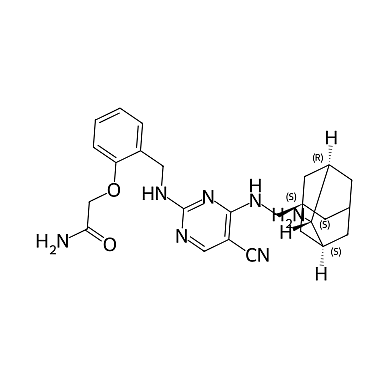 N#Cc1cnc(NCc2ccccc2OCC(N)=O)nc1NC[C@]12CC3C[C@H](C1)[C@@H](N)[C@@H](C3)C2